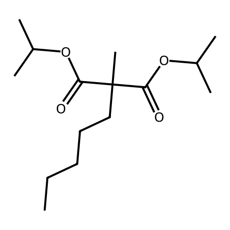 CCCCCC(C)(C(=O)OC(C)C)C(=O)OC(C)C